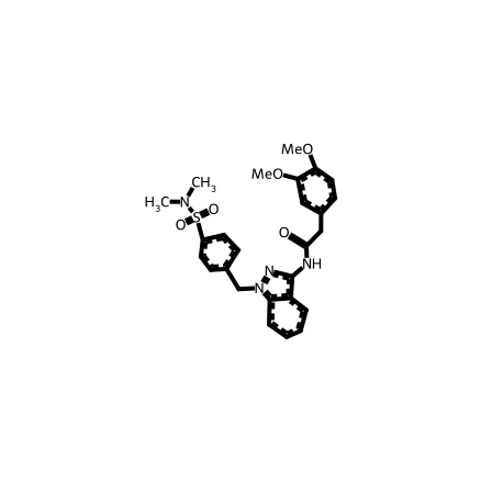 COc1ccc(CC(=O)Nc2nn(Cc3ccc(S(=O)(=O)N(C)C)cc3)c3ccccc23)cc1OC